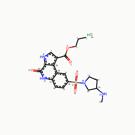 CCCOC(=O)c1c[nH]c2c(=O)[nH]c3ccc(S(=O)(=O)N4CCC(NC)C4)cc3c12.Cl